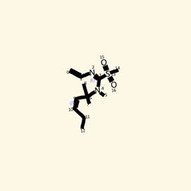 C=C/N=C(\N(C)C(C)(C)/C=C\CC)S(C)(=O)=O